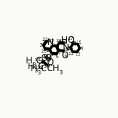 CC1(C)OB(c2cc3c(=O)n([C@H]4CCCC[C@@H]4O)ccc3c3ncccc23)OC1(C)C